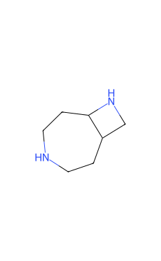 C1CC2CNC2CCN1